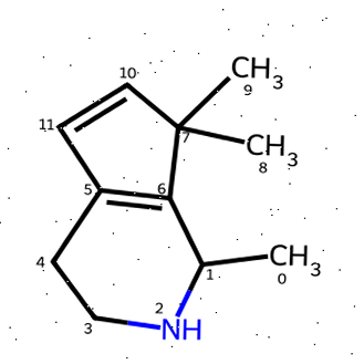 CC1NCCC2=C1C(C)(C)C=C2